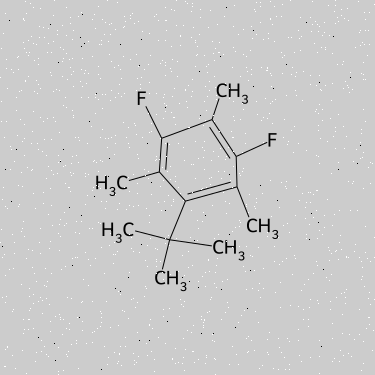 Cc1c(F)c(C)c(C(C)(C)C)c(C)c1F